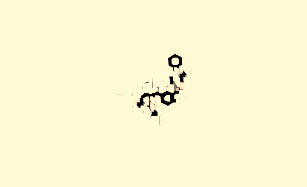 Cc1c(Cc2ccc(F)c(C(=O)N3CC(=O)N(C4CCCCC4)CC3(C)C)c2)nn(OC(=O)C(F)(F)F)c(=O)c1C